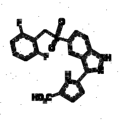 O=C(O)c1ccc(-c2n[nH]c3ccc(S(=O)(=O)Cc4c(F)cccc4F)cc23)[nH]1